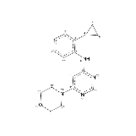 c1ccc(C2CC2)c(Nc2cc(N3CCOCC3)ncn2)c1